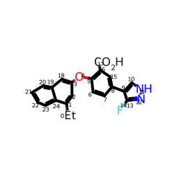 CCc1cc(Oc2ccc(-c3c[nH]nc3F)cc2C(=O)O)cc2ccccc12